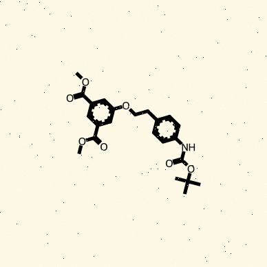 COC(=O)c1cc(OCCc2ccc(NC(=O)OC(C)(C)C)cc2)cc(C(=O)OC)c1